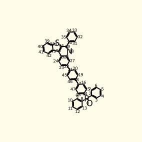 O=P(c1ccccc1)(c1ccccc1)c1ccc(-c2ccc(-c3ccc4c(c3)nc(-c3ccccc3)c3sc5ccccc5c34)cc2)cc1